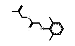 C=C(C)COC(=O)CNc1c(C)cccc1C